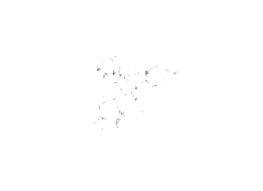 CC(C)C1N(c2ccc(Br)cc2)C(=O)N(c2ccc(Br)cc2)C1(O)c1ccccc1